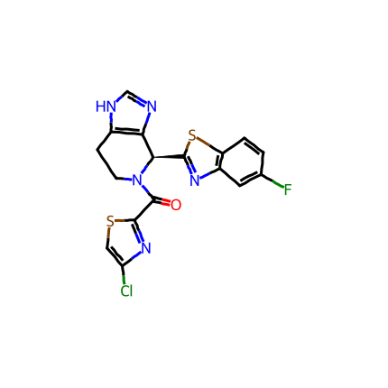 O=C(c1nc(Cl)cs1)N1CCc2[nH]cnc2[C@H]1c1nc2cc(F)ccc2s1